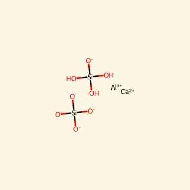 [Al+3].[Ca+2].[O-][Si](O)(O)O.[O-][Si]([O-])([O-])[O-]